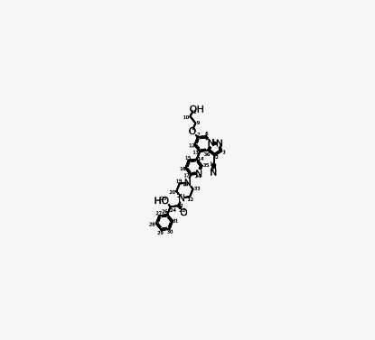 N#Cc1cnn2cc(OCCO)cc(-c3ccc(N4CCN(C(=O)C(O)c5ccccc5)CC4)nc3)c12